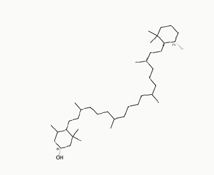 CC(CCCCC(C)CCCC(C)CCC1[C@@H](C)CCCC1(C)C)CCCC(C)CCC1C(C)C[C@@H](O)CC1(C)C